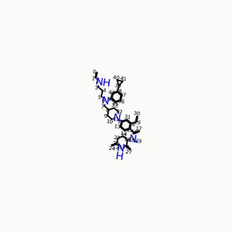 C=CNCCCN(CC1CCN(c2ccc(C(=C)N(C)C3CCC(=C)NC3=C)c(C=C)c2)CC1)c1cccc(C2CC2)c1